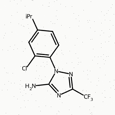 CC(C)c1ccc(-n2nc(C(F)(F)F)nc2N)c(Cl)c1